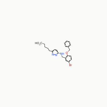 O=C(O)CCCCc1ccc(NCc2cc(Br)ccc2OCc2ccccc2)nn1